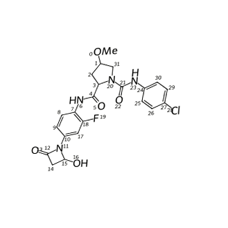 COC1CC(C(=O)Nc2ccc(N3C(=O)CC3O)cc2F)N(C(=O)Nc2ccc(Cl)cc2)C1